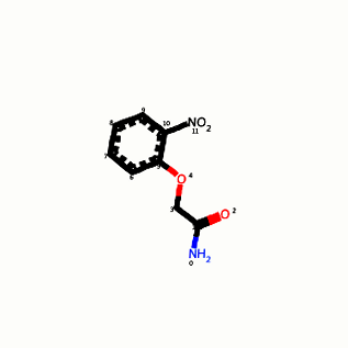 NC(=O)COc1ccccc1[N+](=O)[O-]